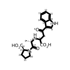 C[C@H](NC(CC(=O)c1c[nH]c2ccccc12)C(=O)O)C(=O)N1CCC[C@H]1C(=O)O